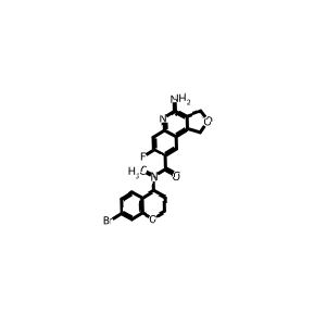 CN(C(=O)c1cc2c3c(c(N)nc2cc1F)COC3)C1CCOc2cc(Br)ccc21